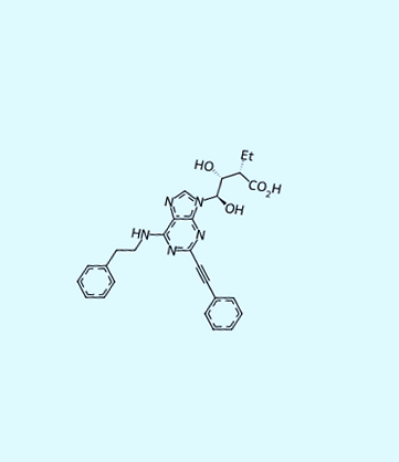 CC[C@H](C(=O)O)[C@@H](O)[C@@H](O)n1cnc2c(NCCc3ccccc3)nc(C#Cc3ccccc3)nc21